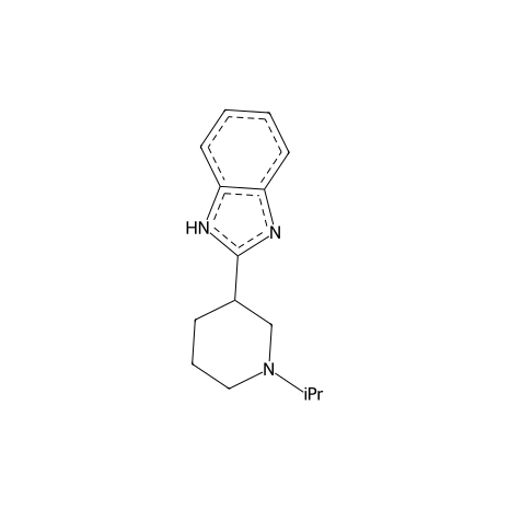 CC(C)N1CCCC(c2nc3ccccc3[nH]2)C1